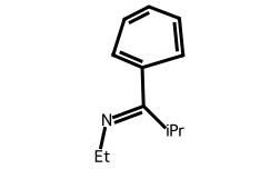 CC/N=C(/c1ccccc1)C(C)C